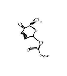 COC(=O)OC1C=CC(=O)C(C)O1